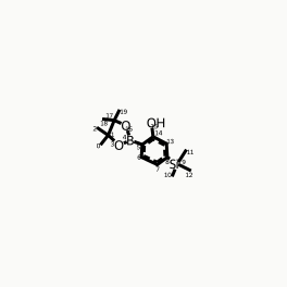 CC1(C)OB(c2ccc([Si](C)(C)C)cc2O)OC1(C)C